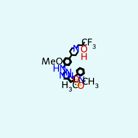 COc1cc(C2CCN(CC(O)C(F)(F)F)CC2)ccc1Nc1ncc2ccc(-c3ccccc3N(C)S(C)(=O)=O)n2n1